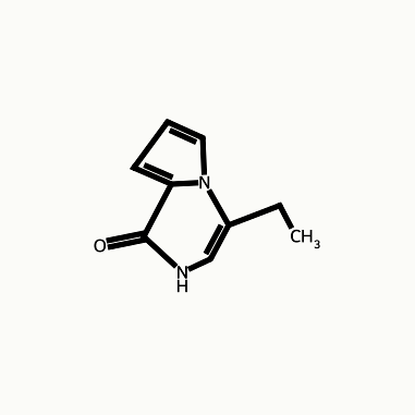 CCc1c[nH]c(=O)c2cccn12